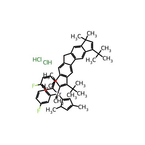 Cl.Cl.[CH2]=[Zr]([C]1=CC(C)=CC1C)([C]1=C(C(C)(C)C)c2cc3c(cc2C1(C)C)Cc1cc2c(cc1-3)C(C(C)(C)C)=CC2(C)C)([c]1cccc(F)c1)[c]1cccc(F)c1